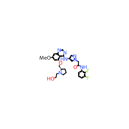 COc1cc(OC[C@H]2CCCN2CCO)c2c(Nc3cnn(CC(=O)Nc4cccc(F)c4F)c3)ncnc2c1